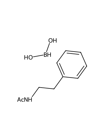 CC(=O)NCCc1ccccc1.OBO